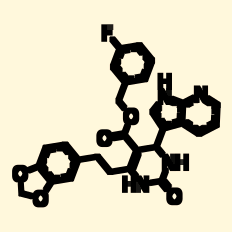 O=C1NC(CCc2ccc3c(c2)OCO3)=C(C(=O)OCc2cccc(F)c2)C(c2c[nH]c3ncccc23)N1